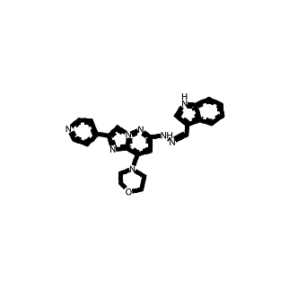 C(=N/Nc1cc(N2CCOCC2)c2nc(-c3ccncc3)cn2n1)/c1c[nH]c2ccccc12